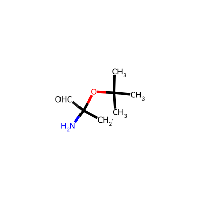 [CH2]C(N)(C=O)OC(C)(C)C